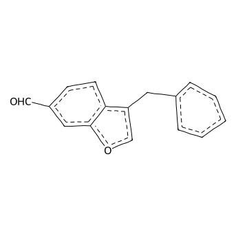 O=Cc1ccc2c(Cc3ccccc3)coc2c1